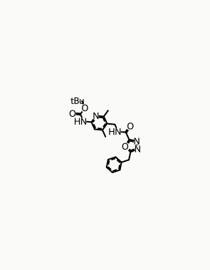 Cc1cc(NC(=O)OC(C)(C)C)nc(C)c1CNC(=O)c1nnc(Cc2ccccc2)o1